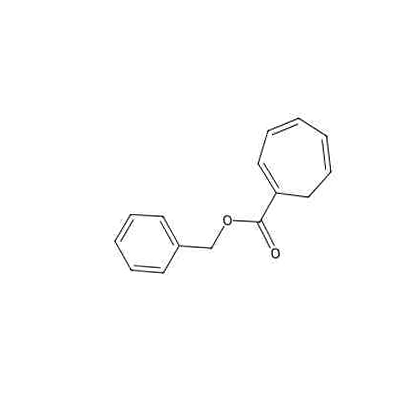 O=C(OCc1ccccc1)C1=CC=CC=CC1